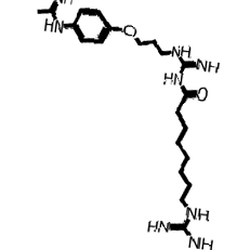 CC(=N)Nc1ccc(OCCCNC(=N)NC(=O)CCCCCCCNC(=N)N)cc1